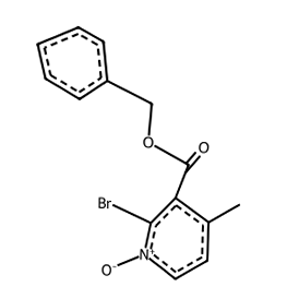 Cc1cc[n+]([O-])c(Br)c1C(=O)OCc1ccccc1